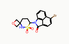 O=C1c2ccc(Br)c3cccc(c23)N1C1CCC2(COC2)NS1(=O)=O